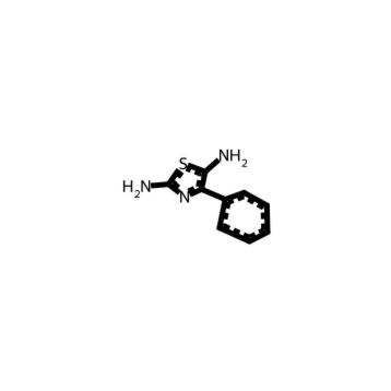 Nc1nc(-c2ccccc2)c(N)s1